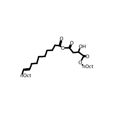 CCCCCCCCC=CCCCCCCCC(=O)OC(=O)CC(O)C(=O)OCCCCCCCC